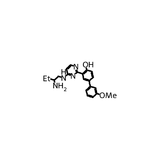 CCC(N)CNc1ccnc(-c2cc(-c3cccc(OC)c3)ccc2O)n1